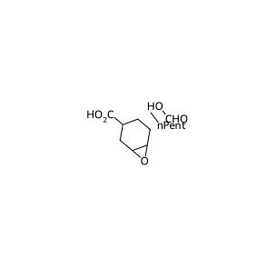 CCCCCC.O=C(O)C1CCC2OC2C1.O=CO